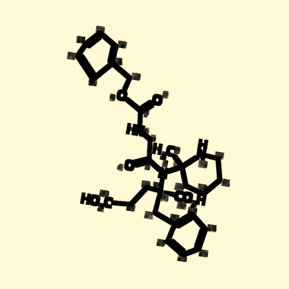 CC1(N(C(=O)CNC(=O)OCc2ccccc2)[C@](CCC(=O)O)(Cc2ccccc2)C(=O)O)CCCCN1